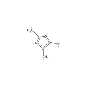 Cc1nc(C)c(Br)s1